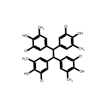 Cc1cc(C(c2cc(C)c(O)c(Cl)c2)C(c2cc(C)c(O)c(Cl)c2)c2cc(C)c(O)c(Cl)c2)cc(Cl)c1O